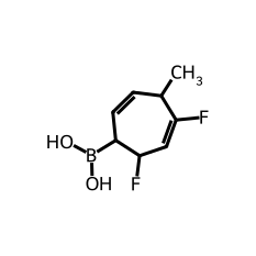 CC1C=CC(B(O)O)C(F)C=C1F